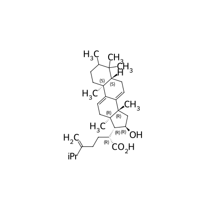 C=C(CC[C@@H](C(=O)O)[C@H]1[C@H](O)C[C@@]2(C)C3=CC[C@H]4C(C)(C)C(C)CC[C@]4(C)C3=CC[C@]12C)C(C)C